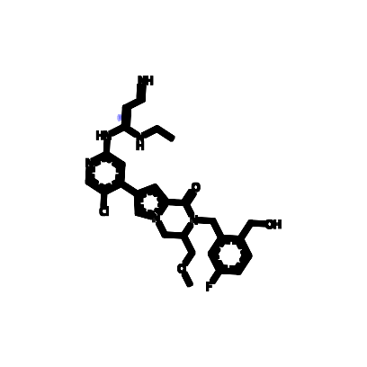 CCN/C(=C\C=N)Nc1cc(-c2cc3n(c2)CC(COC)N(Cc2cc(F)ccc2CO)C3=O)c(Cl)cn1